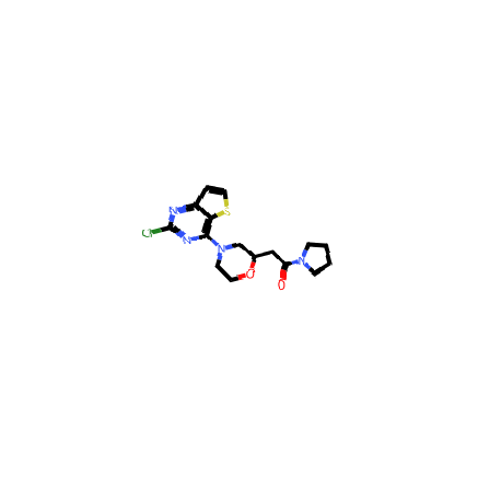 O=C(CC1CN(c2nc(Cl)nc3ccsc23)CCO1)N1CCCC1